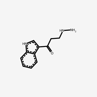 NNCCC(=O)c1c[nH]c2ccccc12